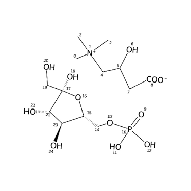 C[N+](C)(C)CC(O)CC(=O)[O-].O=P(O)(O)OC[C@H]1O[C@](O)(CO)[C@@H](O)[C@@H]1O